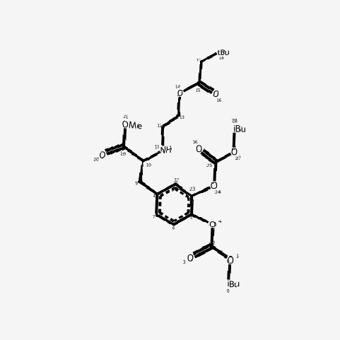 CCC(C)OC(=O)Oc1ccc(C[C@H](NCCOC(=O)CC(C)(C)C)C(=O)OC)cc1OC(=O)OC(C)CC